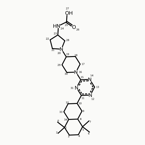 CC1(C)CCC(C)(C)C2CC(c3ncnc(N4CCC(N5CCC(NC(=O)O)C5)CC4)n3)CCC21